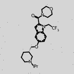 CC(C)N1CCC[C@H](COc2ccc3c(c2)cc(C(=O)N2CCOCC2)n3CC(F)(F)F)C1